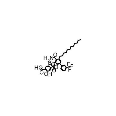 CCCCCCCCCCCCc1cc(-c2cccc(C(F)(F)F)c2)c(OS(=O)(=O)c2ccc(C(=O)O)c(O)c2)c(Br)c1C(N)=O